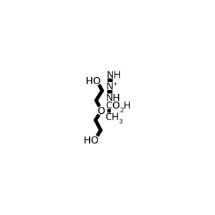 CC(=O)O.N=[N+]=N.OCCOCCO